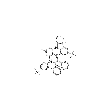 Cc1cc2c3c(c1)N1c4c(cc(C(C)(C)C)cc4C4(C)CCCCC14C)B3c1c(oc3ccccc13)N2c1ccc(C(C)(C)C)cc1-c1ccccc1